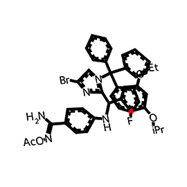 CCOc1cc(OC(C)C)c(F)c(C(Nc2ccc(/C(N)=N/OC(C)=O)cc2)c2nc(Br)cn2C(c2ccccc2)(c2ccccc2)c2ccccc2)c1